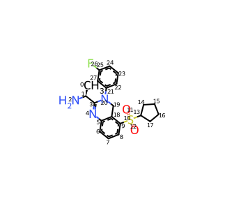 C[C@H](N)C1=Nc2cccc(S(=O)(=O)C3CCCC3)c2CN1c1cccc(F)c1